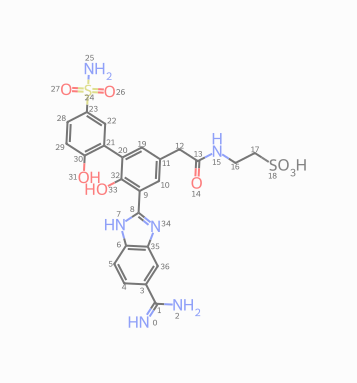 N=C(N)c1ccc2[nH]c(-c3cc(CC(=O)NCCS(=O)(=O)O)cc(-c4cc(S(N)(=O)=O)ccc4O)c3O)nc2c1